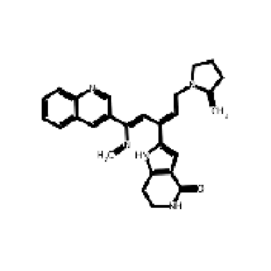 C=N/C(=C\C(=C/CN1CCCC1=C)c1cc2c([nH]1)CCNC2=O)c1cnc2ccccc2c1